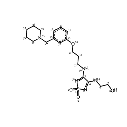 O=S1(=O)N=C(NCCO)C(NCCCOc2cccc(CN3CCCCC3)c2)=N1